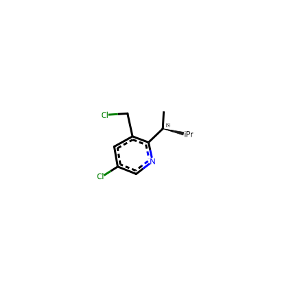 CC(C)[C@H](C)c1ncc(Cl)cc1CCl